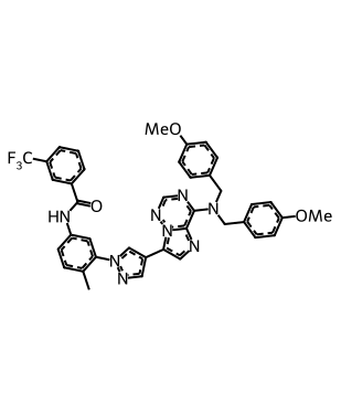 COc1ccc(CN(Cc2ccc(OC)cc2)c2ncnn3c(-c4cnn(-c5cc(NC(=O)c6cccc(C(F)(F)F)c6)ccc5C)c4)cnc23)cc1